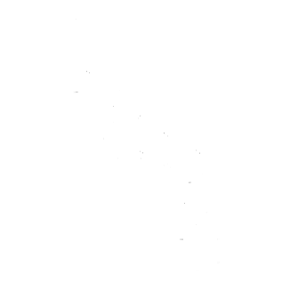 OCCN1CCC(c2ccnc(Nc3ncc(/C=C/c4ccccc4)s3)c2)CC1